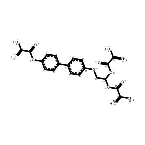 C=C(C)C(=O)Oc1ccc(-c2ccc(OCC(OC(=O)C(=C)C)OC(=O)C(=C)C)cc2)cc1